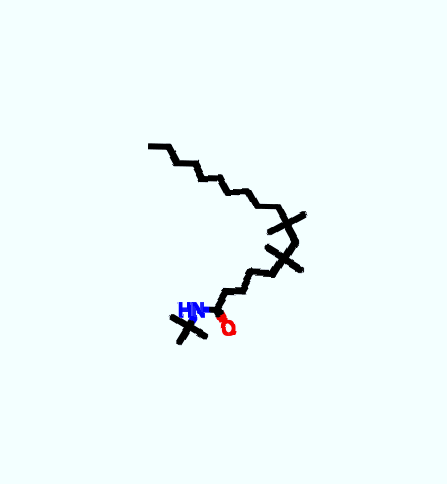 CCCCCCCCCCC(C)(C)CC(C)(C)CCCCC(=O)NC(C)(C)C